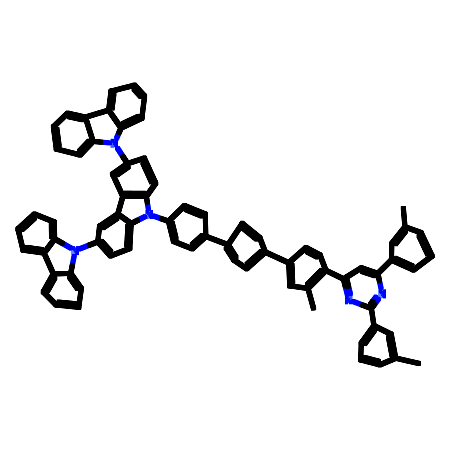 Cc1cccc(-c2cc(-c3ccc(-c4ccc(-c5ccc(-n6c7ccc(-n8c9ccccc9c9ccccc98)cc7c7cc(-n8c9ccccc9c9ccccc98)ccc76)cc5)cc4)cc3C)nc(-c3cccc(C)c3)n2)c1